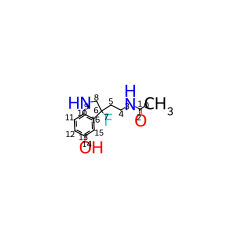 CC(=O)NCCC1(F)CNc2ccc(O)cc21